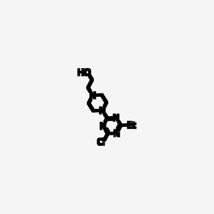 CCc1nc(Cl)nc(N2CCN(CCO)CC2)n1